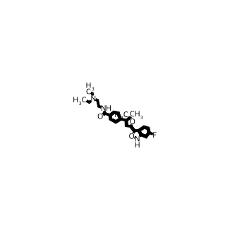 CCN(CC)CCNC(=O)c1ccc(C2=C/C(=C3\ONc4cc(F)ccc43)OC2(C)C)cc1